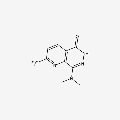 CN(C)c1n[nH]c(=O)c2ccc(C(F)(F)F)nc12